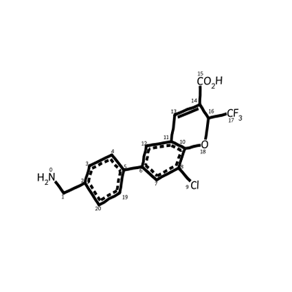 NCc1ccc(-c2cc(Cl)c3c(c2)C=C(C(=O)O)C(C(F)(F)F)O3)cc1